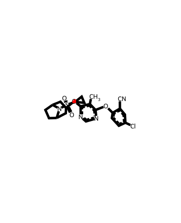 Cc1c(Oc2ccc(Cl)cc2C#N)ncnc1OC1CC2CCC(C1)N2S(=O)(=O)C1CC1